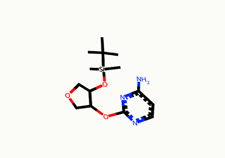 CC(C)(C)[Si](C)(C)OC1COCC1Oc1nccc(N)n1